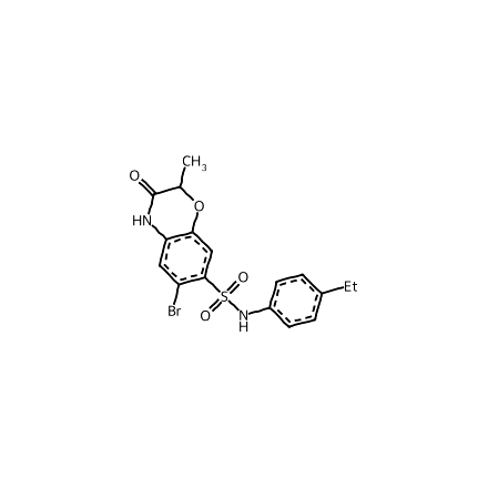 CCc1ccc(NS(=O)(=O)c2cc3c(cc2Br)NC(=O)C(C)O3)cc1